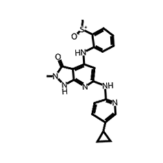 Cn1[nH]c2nc(Nc3ccc(C4CC4)cn3)cc(Nc3ccccc3[S+](C)[O-])c2c1=O